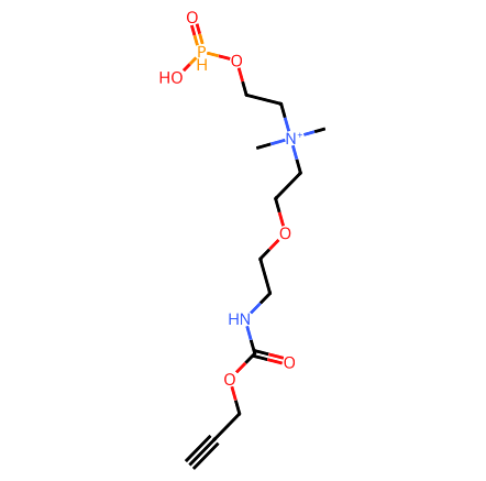 C#CCOC(=O)NCCOCC[N+](C)(C)CCO[PH](=O)O